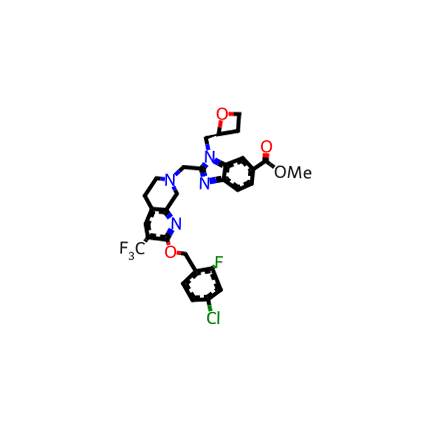 COC(=O)c1ccc2nc(CN3CCc4cc(C(F)(F)F)c(OCc5ccc(Cl)cc5F)nc4C3)n(C[C@@H]3CCO3)c2c1